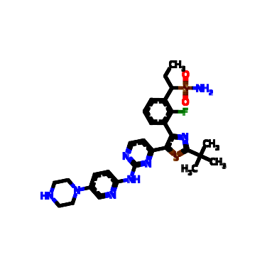 CCC(c1cccc(-c2nc(C(C)(C)C)sc2-c2ccnc(Nc3ccc(N4CCNCC4)cn3)n2)c1F)S(N)(=O)=O